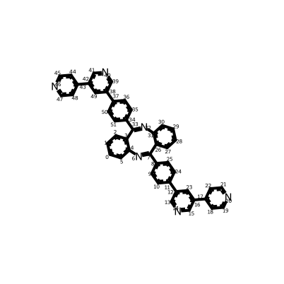 c1ccc2c(c1)/N=C(/c1ccc(-c3cncc(-c4ccncc4)c3)cc1)c1ccccc1/N=C\2c1ccc(-c2cncc(-c3ccncc3)c2)cc1